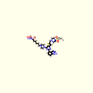 CS(=O)(=O)N1CCN(Cc2cc3nc(-c4cccc5[nH]ncc45)nc(N4CCN(CCCCCC(=O)NO)CC4)c3s2)CC1